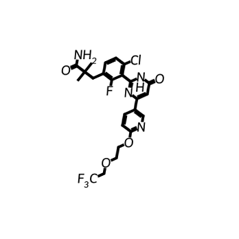 CC(C)(Cc1ccc(Cl)c(-c2nc(-c3ccc(OCCOCC(F)(F)F)nc3)cc(=O)[nH]2)c1F)C(N)=O